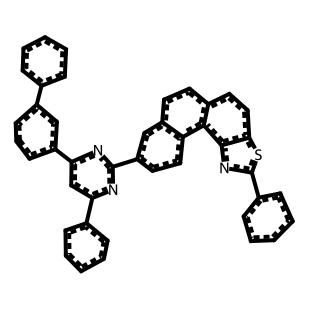 c1ccc(-c2cccc(-c3cc(-c4ccccc4)nc(-c4ccc5c(ccc6ccc7sc(-c8ccccc8)nc7c65)c4)n3)c2)cc1